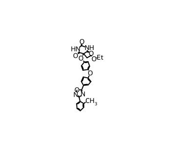 CCOCCC1(Oc2ccc(Oc3ccc(-c4nc(-c5ccccc5C)no4)cc3)cc2)C(=O)NC(=O)NC1=O